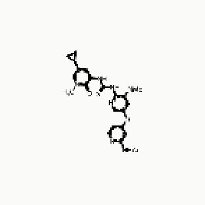 CNc1cc(Oc2ccnc(NC(C)=O)c2)cnc1NC(=S)Nc1cc(C2CC2)cn(C)c1=O